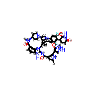 CN/C1=C(\C=N)c2cc(cc(C)n2)C(=O)/N=C2\Nc3ccc4cc3N2C[C@@H](CCCO1)C1CN(c2cc(F)c([C@H]3CCC(=O)NC3=O)c(F)c2)CCC1N1CCC(CC1)N(C)C4=O